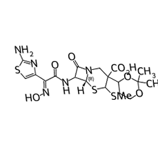 CSC1S[C@@H]2C(NC(=O)C(=NO)c3csc(N)n3)C(=O)N2CC1(C(=O)O)C1CCOC(C)(C)O1